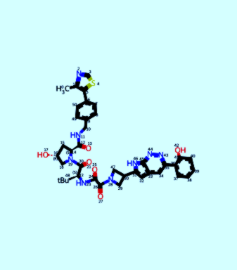 Cc1ncsc1-c1ccc(CNC(=O)[C@@H]2C[C@@H](O)CN2C(=O)[C@@H](NC(=O)C(=O)N2CC(c3cc4cc(-c5ccccc5O)nnc4[nH]3)C2)C(C)(C)C)cc1